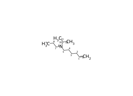 C=CCCCCN(CCC)C(C)C